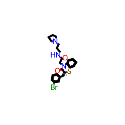 O=C(CN1C(=O)/C(=C\c2cccc(Br)c2)Sc2ccccc21)NCCCN1CCCC1